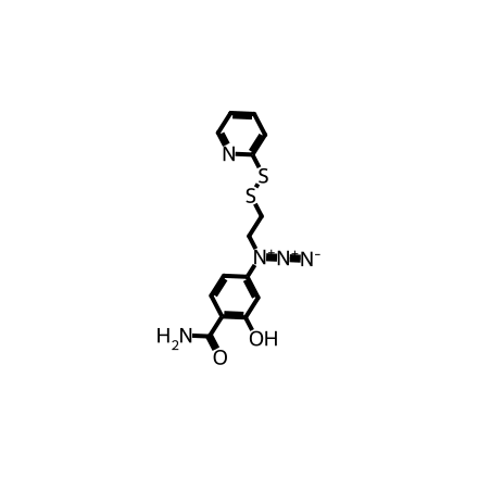 [N-]=[N+]=[N+](CCSSc1ccccn1)c1ccc(C(N)=O)c(O)c1